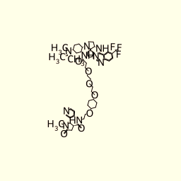 CC(C)N(C)[C@@H]1CC[C@H](N2CC[C@H](Nc3ncnc4ccc(C(F)(F)F)cc34)C2=O)[C@H](NC(=O)CCOCCOCCOC2CCC(OCCNC(=O)[C@H]3CC(=O)N(C)[C@@H]3c3cccnc3)CC2)C1